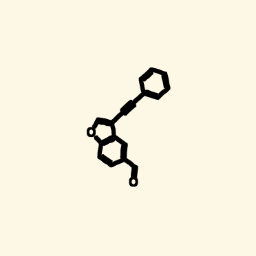 O=Cc1ccc2occ(C#Cc3ccccc3)c2c1